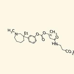 CCC1(c2cccc(OC(=O)O[C@H](C)CC(=O)NCCC(=O)O)c2)CCCCN(C)C1